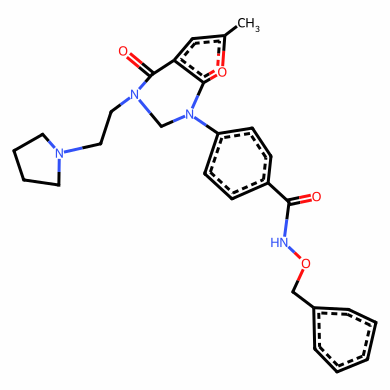 Cc1cc2c(o1)N(c1ccc(C(=O)NOCc3ccccc3)cc1)CN(CCN1CCCC1)C2=O